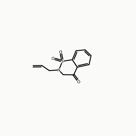 C=CCN1CC(=O)c2ccccc2S1(=O)=O